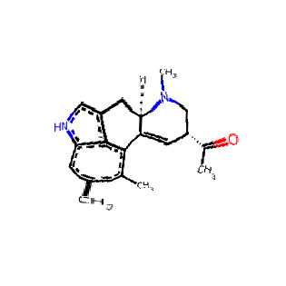 CC(=O)[C@@H]1C=C2c3c(C)c(C)cc4[nH]cc(c34)C[C@H]2N(C)C1